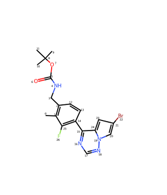 Cc1c(CNC(=O)OC(C)(C)C)ccc(-c2ncnn3cc(Br)cc23)c1F